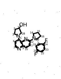 OC1CCN(c2ccnc3ccc(N4CCC[C@@H]4c4cc(F)ccc4F)nc23)C1